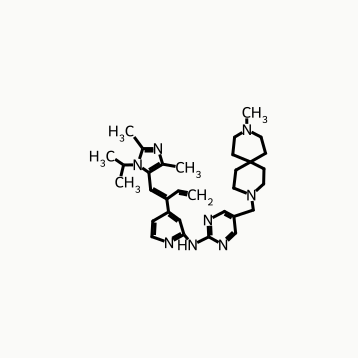 C=C/C(=C\c1c(C)nc(C)n1C(C)C)c1ccnc(Nc2ncc(CN3CCC4(CCN(C)CC4)CC3)cn2)c1